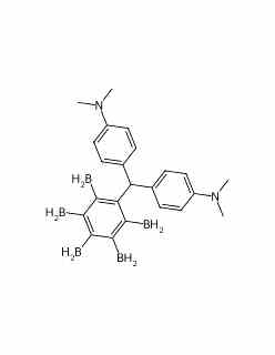 Bc1c(B)c(B)c(C(c2ccc(N(C)C)cc2)c2ccc(N(C)C)cc2)c(B)c1B